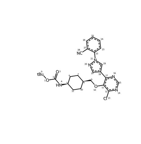 CC(C)(C)OC(=O)N[C@H]1CC[C@@H](COc2c(Cl)ncnc2-c2cnn(-c3ccccc3C#N)c2)CC1